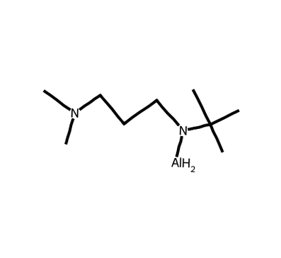 CN(C)CCC[N]([AlH2])C(C)(C)C